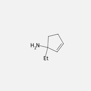 CCC1(N)C=CCC1